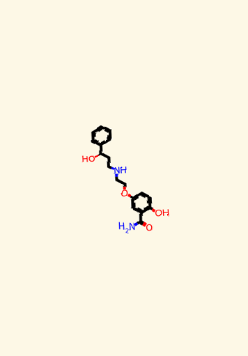 NC(=O)c1cc(OCCNCC[C@@H](O)c2ccccc2)ccc1O